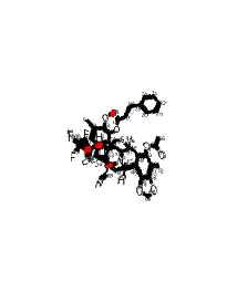 C=CCN1C2c3c(cc(C)c(OC)c3OC(=O)/C=C/c3ccccc3)CC1[C@H](C#N)N1C2[C@@H]2SCC(NC(=O)C(F)(F)F)C(=O)OC[C@H]1c1c3c(c(C)c(OC(C)=O)c12)OCO3